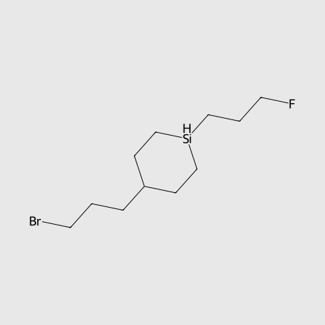 FCCC[SiH]1CCC(CCCBr)CC1